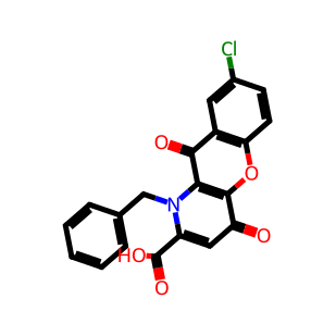 O=C(O)c1cc(=O)c2oc3ccc(Cl)cc3c(=O)c2n1Cc1ccccc1